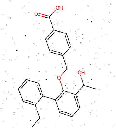 CCc1ccccc1-c1cccc(C(C)O)c1OCc1ccc(C(=O)O)cc1